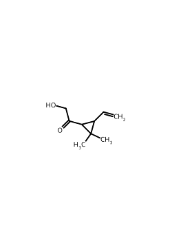 C=CC1C(C(=O)CO)C1(C)C